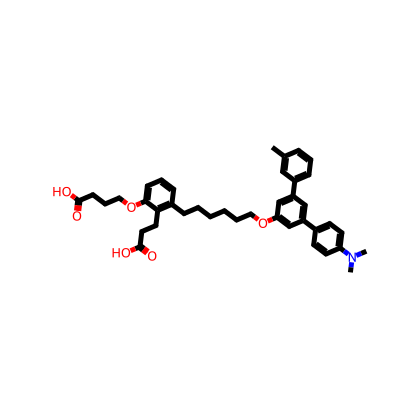 Cc1cccc(-c2cc(OCCCCCCc3cccc(OCCCC(=O)O)c3CCC(=O)O)cc(-c3ccc(N(C)C)cc3)c2)c1